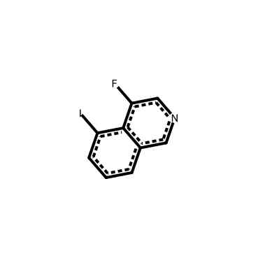 Fc1cncc2cccc(I)c12